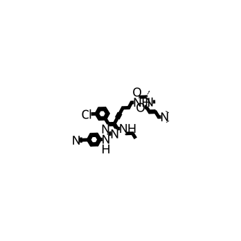 CCCNc1nc(Nc2ccc(C#N)cc2)nc(-c2cccc(Cl)c2)c1C#CCCCNC(=O)[C@H](C)N(C)C(=O)/C=C/CN(C)C